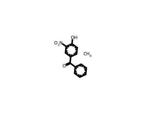 C.O=C(c1ccccc1)c1ccc(O)c([N+](=O)[O-])c1